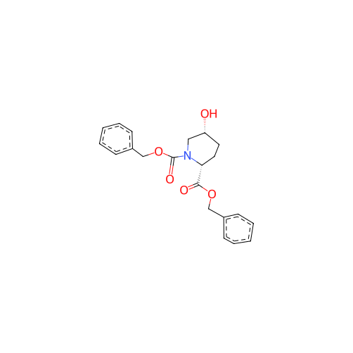 O=C(OCc1ccccc1)[C@H]1CC[C@@H](O)CN1C(=O)OCc1ccccc1